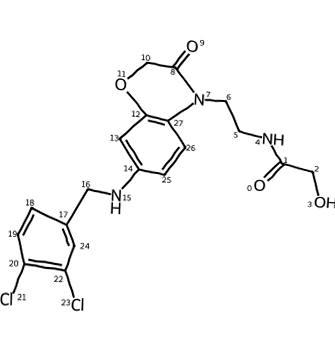 O=C(CO)NCCN1C(=O)COc2cc(NCc3ccc(Cl)c(Cl)c3)ccc21